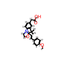 COc1ccc(/C=C/C23OCCN2c2ccc(CC(=O)O)cc2C3(C)C)cc1